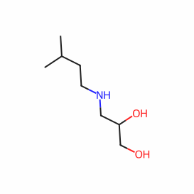 CC(C)CCNCC(O)CO